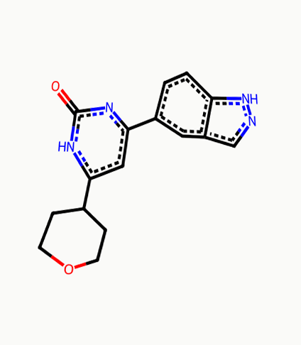 O=c1nc(-c2ccc3[nH]ncc3c2)cc(C2CCOCC2)[nH]1